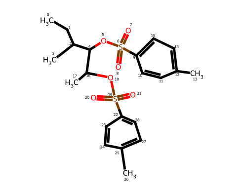 CCC(C)C(OS(=O)(=O)c1ccc(C)cc1)C(C)OS(=O)(=O)c1ccc(C)cc1